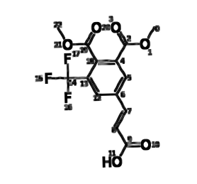 COC(=O)c1cc(/C=C/C(=O)O)cc(C(F)(F)F)c1C(=O)OC